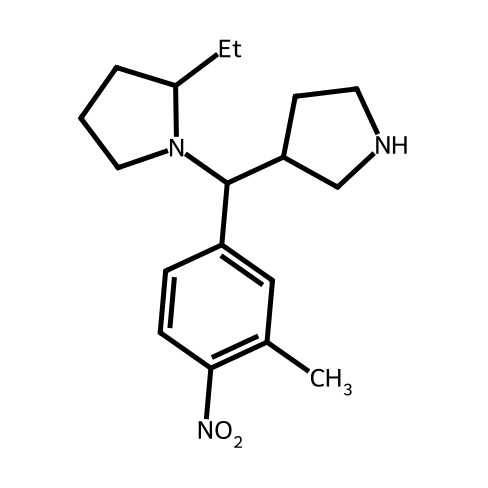 CCC1CCCN1C(c1ccc([N+](=O)[O-])c(C)c1)C1CCNC1